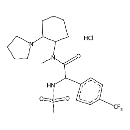 CN(C(=O)C(NS(C)(=O)=O)c1ccc(C(F)(F)F)cc1)C1CCCCC1N1CCCC1.Cl